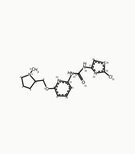 CN1CCCC1COc1cccc(NC(=O)Nc2csc(Cl)n2)n1